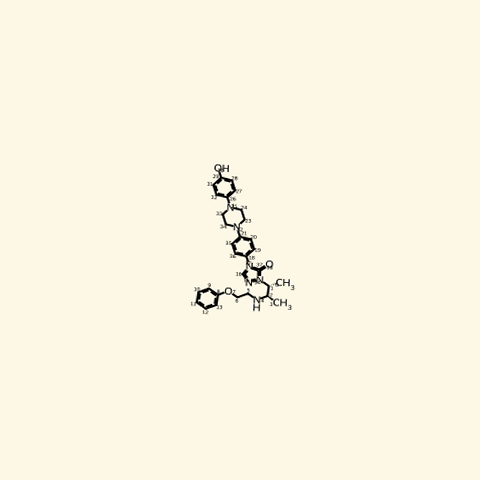 C[C@H]([C@@H](C)NCCOc1ccccc1)n1ncn(-c2ccc(N3CCN(c4ccc(O)cc4)CC3)cc2)c1=O